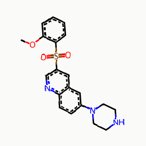 COc1ccccc1S(=O)(=O)c1cnc2ccc(N3CCNCC3)cc2c1